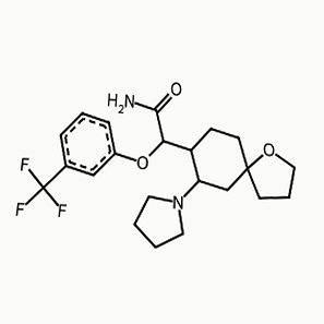 NC(=O)C(Oc1cccc(C(F)(F)F)c1)C1CCC2(CCCO2)CC1N1CCCC1